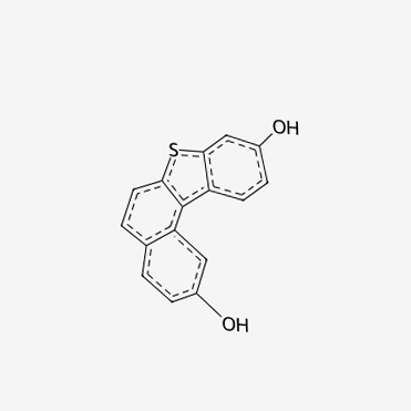 Oc1ccc2c(c1)sc1ccc3ccc(O)cc3c12